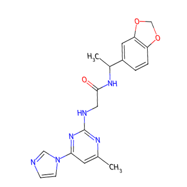 Cc1cc(-n2ccnc2)nc(NCC(=O)NC(C)c2ccc3c(c2)OCO3)n1